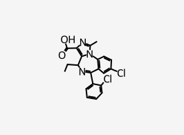 CCC1N=C(c2ccccc2Cl)c2cc(Cl)ccc2-n2c(C)nc(C(=O)O)c21